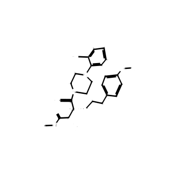 O=C(NO)[C@@H](O)[C@@H](CCCc1ccc(OC(F)(F)F)cc1)C(=O)N1CCN(c2ccccc2F)CC1